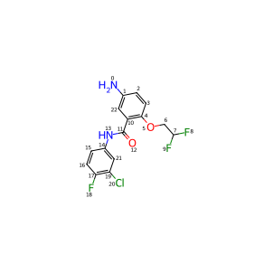 Nc1ccc(OCC(F)F)c(C(=O)Nc2ccc(F)c(Cl)c2)c1